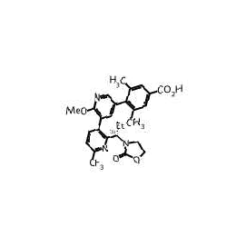 CC[C@@H](c1nc(C(F)(F)F)ccc1-c1cc(-c2c(C)cc(C(=O)O)cc2C)cnc1OC)N1CCOC1=O